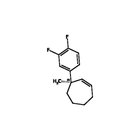 C[C@]1(c2ccc(F)c(F)c2)C=CCCCC1